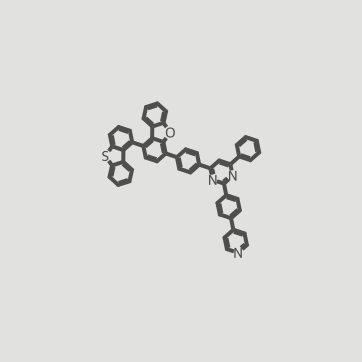 c1ccc(-c2cc(-c3ccc(-c4ccc(-c5cccc6sc7ccccc7c56)c5c4oc4ccccc45)cc3)nc(-c3ccc(-c4ccncc4)cc3)n2)cc1